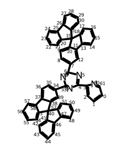 c1ccc(-c2nc(-c3ccc4c(c3)-c3ccccc3C43c4ccccc4-c4ccccc43)nc(-c3ccc4c(c3)C3(c5ccccc5-c5ccccc53)c3ccccc3-4)n2)nc1